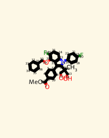 COC(=O)c1ccc(-c2c(C(C)(CO)CO)n(-c3ccc(F)cc3)c3ccc(F)c(OCc4ccccc4)c23)cc1